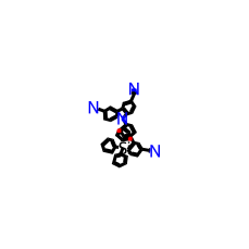 N#Cc1ccc([Si](c2ccccc2)(c2ccccc2)c2ccccc2)c(-c2ccc(-n3c4ccc(C#N)cc4c4cc(C#N)ccc43)cc2)c1